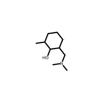 CC1CC[CH]C(CN(C)C)C1O